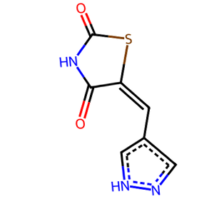 O=C1NC(=O)/C(=C\c2cn[nH]c2)S1